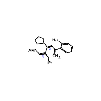 C=C(/C=C(\C(=C/NC)CC(C)C)C1CCCC1)c1ccccc1C